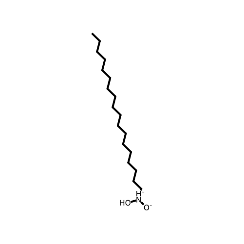 CCCCCCCCCCCCCCCCCC[NH+]([O-])O